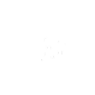 CC(OP(=O)(O)C1CCCCC1F)C(F)(F)F